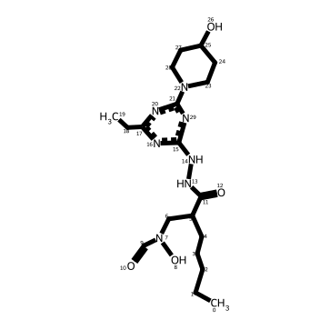 CCCCCC(CN(O)C=O)C(=O)NNc1nc(CC)nc(N2CCC(O)CC2)n1